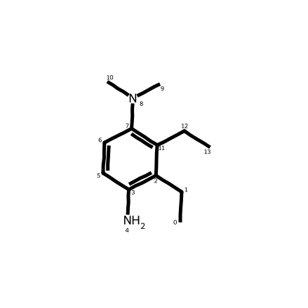 CCc1c(N)ccc(N(C)C)c1CC